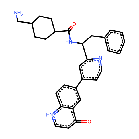 NCC1CCC(C(=O)NC(Cc2ccccc2)c2cc(-c3ccc4[nH]ccc(=O)c4c3)ccn2)CC1